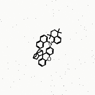 CC1(C)CCC(C)(C)c2c(N(c3ccc4c(c3)C3(c5ccccc5O4)C4CC5CC(C4)C3C5)c3cccc4ccccc34)cccc21